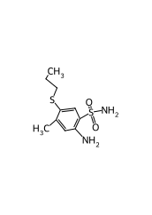 CCCSc1cc(S(N)(=O)=O)c(N)cc1C